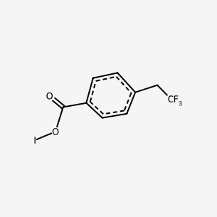 O=C(OI)c1ccc(CC(F)(F)F)cc1